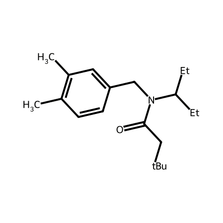 CCC(CC)N(Cc1ccc(C)c(C)c1)C(=O)CC(C)(C)C